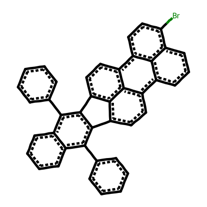 Brc1ccc2c3ccc4c5c(ccc(c6cccc1c62)c53)-c1c-4c(-c2ccccc2)c2ccccc2c1-c1ccccc1